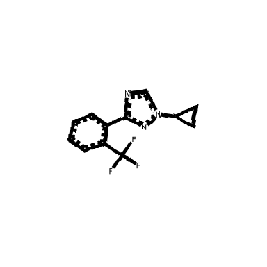 FC(F)(F)c1ccccc1-c1n[c]n(C2CC2)n1